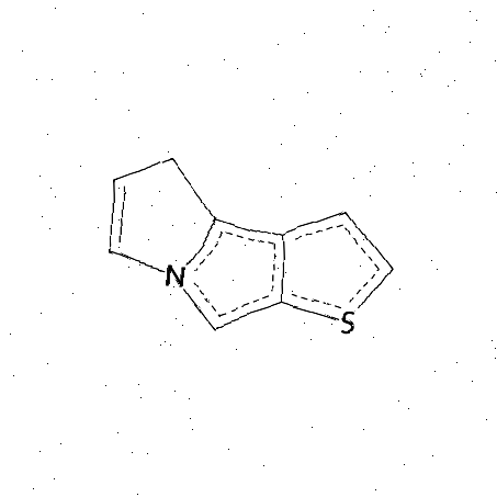 C1=Cn2cc3sccc3c2C1